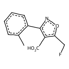 Cc1ccccc1-c1noc(CF)c1C(=O)O